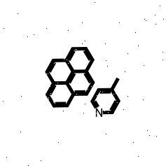 Cc1ccncc1.c1cc2ccc3cccc4ccc(c1)c2c34